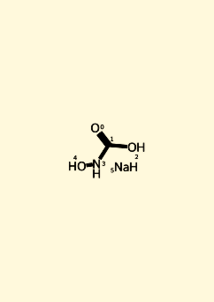 O=C(O)NO.[NaH]